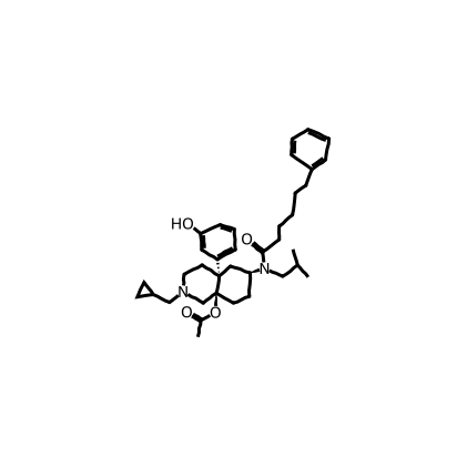 CC(=O)O[C@]12CC[C@H](N(CC(C)C)C(=O)CCCCCc3ccccc3)C[C@]1(c1cccc(O)c1)CCN(CC1CC1)C2